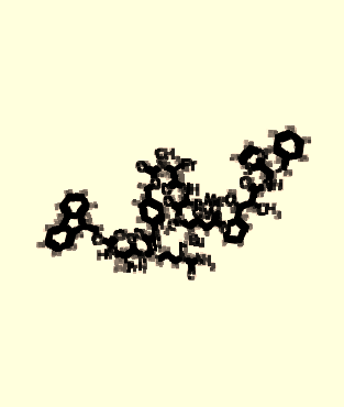 CCC(C)[C@@H]([C@@H](CC(=O)N1CCCC1[C@H](OC)[C@@H](C)C(=O)N[C@@H](Cc1ccccc1)c1nccs1)OC)N(C)C(=O)[C@@H](NC(=O)[C@H](C(C)C)N(C)C(=O)OCc1ccc(NC(=O)[C@H](CCCNC(N)=O)NC(=O)[C@@H](NC(=O)OCC2c3ccccc3-c3ccccc32)C(C)C)cc1)C(C)C